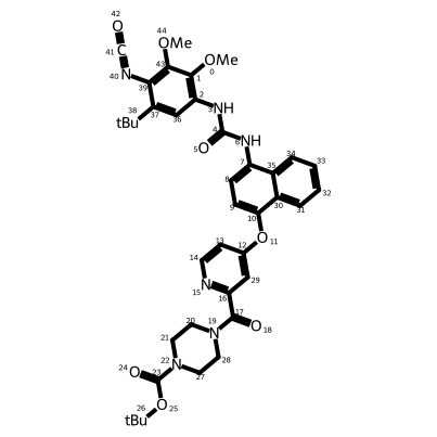 COc1c(NC(=O)Nc2ccc(Oc3ccnc(C(=O)N4CCN(C(=O)OC(C)(C)C)CC4)c3)c3ccccc23)cc(C(C)(C)C)c(N=C=O)c1OC